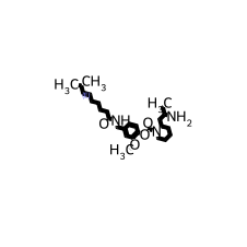 CCC(N)CC1CCCCN1C(=O)Oc1ccc(CNC(=O)CCCC/C=C/C(C)C)cc1OC